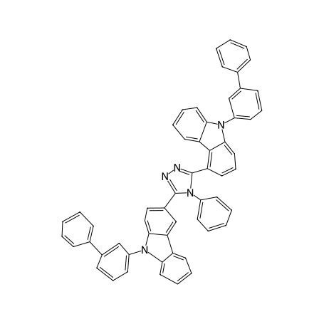 c1ccc(-c2cccc(-n3c4ccccc4c4cc(-c5nnc(-c6cccc7c6c6ccccc6n7-c6cccc(-c7ccccc7)c6)n5-c5ccccc5)ccc43)c2)cc1